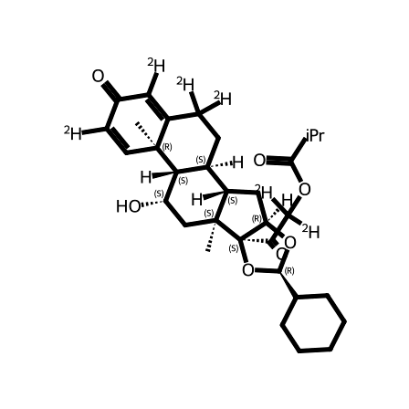 [2H]C1=C[C@@]2(C)C(=C([2H])C1=O)C([2H])([2H])C[C@@H]1[C@@H]2[C@@H](O)C[C@@]2(C)[C@H]1C[C@H]1O[C@@H](C3CCCCC3)O[C@]12C(=O)C([2H])([2H])OC(=O)C(C)C